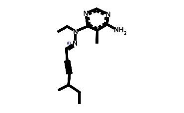 CCC(C)C#C/C=N/N(CC)c1ncnc(N)c1C